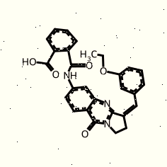 CCOc1cccc(/C=C2/CCn3c2nc2cc(NC(=O)c4ccccc4C(=O)O)ccc2c3=O)c1